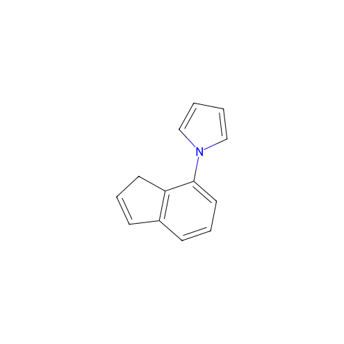 C1=Cc2cccc(-n3cccc3)c2C1